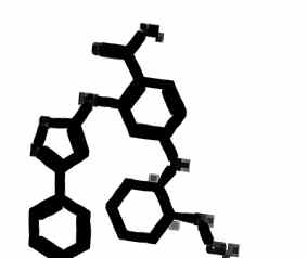 NC(=O)c1ccc(N[C@@H]2CCCC[C@@H]2NC(=O)O)cc1Nc1cc(-c2ccccc2)no1